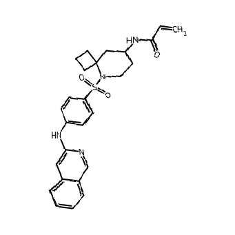 C=CC(=O)NC1CCN(S(=O)(=O)c2ccc(Nc3cc4ccccc4cn3)cc2)C2(CCC2)C1